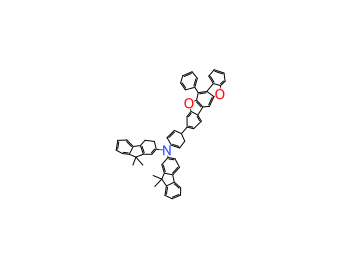 CC1(C)C2=C(CCC(N(C3=CCC(c4ccc5c(c4)oc4c(-c6ccccc6)c6c(cc45)oc4ccccc46)C=C3)c3ccc4c(c3)C(C)(C)c3ccccc3-4)=C2)c2ccccc21